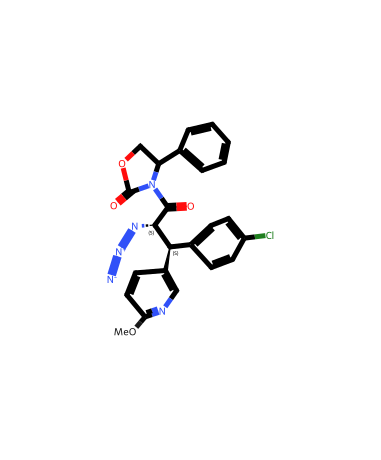 COc1ccc([C@H](c2ccc(Cl)cc2)[C@H](N=[N+]=[N-])C(=O)N2C(=O)OCC2c2ccccc2)cn1